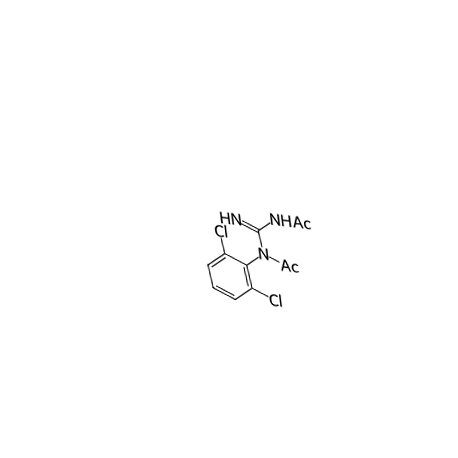 CC(=O)NC(=N)N(C(C)=O)c1c(Cl)cccc1Cl